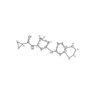 O=C(Nc1cc(Oc2ccc3c(c2)CCCO3)ccn1)C1CC1